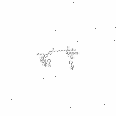 COc1cc(N2CCN(C(=O)CCCCCCCCC(=O)N[C@H](C(=O)N3C[C@H](O)C[C@H]3C(=O)NCc3ccc(-c4scnc4C)cc3)C(C)(C)C)CC2)ccc1Nc1ncc(Cl)c(Nc2ccccc2P(C)(C)=O)n1